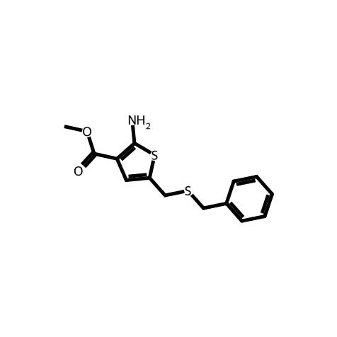 COC(=O)c1cc(CSCc2ccccc2)sc1N